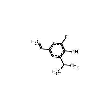 C=Cc1cc(F)c(O)c(C(C)C)c1